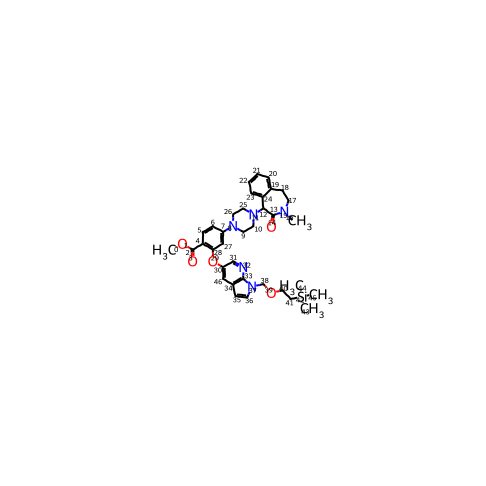 COC(=O)c1ccc(N2CCN(C3C(=O)N(C)CCc4ccccc43)CC2)cc1Oc1cnc2c(ccn2COCC[Si](C)(C)C)c1